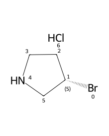 Br[C@H]1CCNC1.Cl